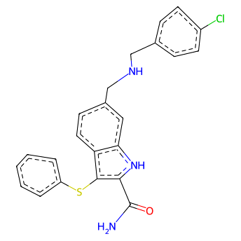 NC(=O)c1[nH]c2cc(CNCc3ccc(Cl)cc3)ccc2c1Sc1ccccc1